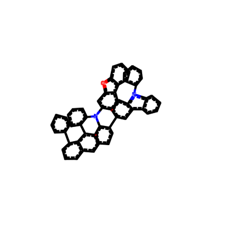 c1ccc(-c2cccc3cccc(-c4ccccc4N(c4ccc5c(c4)oc4ccccc45)c4ccccc4-c4ccc5c(c4)c4ccccc4n5-c4ccccc4)c23)cc1